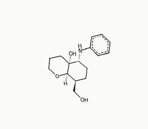 OC[C@@H]1CC[C@@H](Nc2ccccc2)[C@]2(O)CCCO[C@H]12